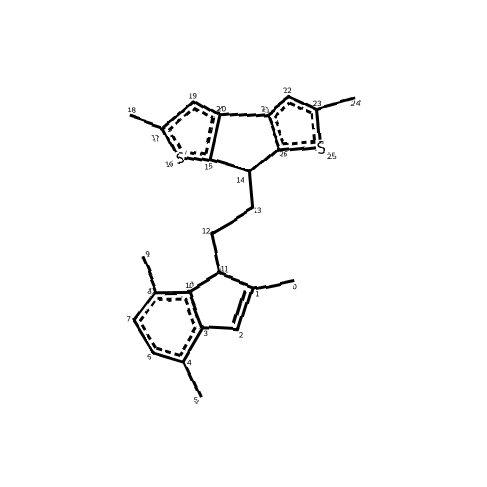 CC1=Cc2c(C)ccc(C)c2C1CCC1c2sc(C)cc2-c2cc(C)sc21